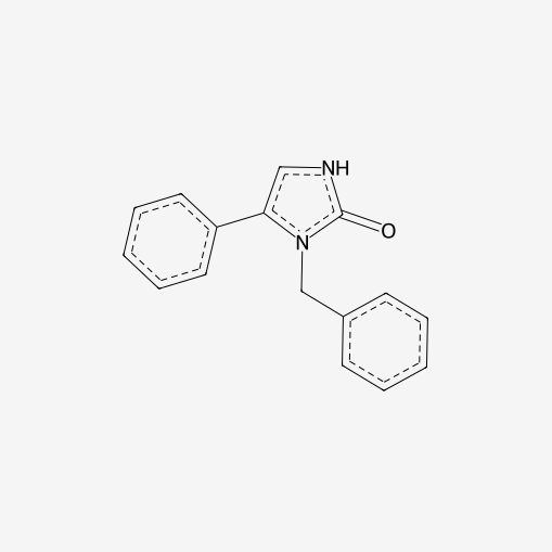 O=c1[nH]cc(-c2ccccc2)n1Cc1ccccc1